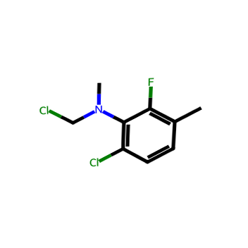 Cc1ccc(Cl)c(N(C)CCl)c1F